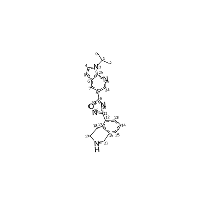 CC(C)n1ccc2cc(-c3nc(-c4cccc5c4CCNC5)no3)cnc21